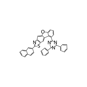 c1ccc(-c2nc(-c3ccccc3)nc(-c3cccc4oc5cc6nc(-c7ccc8ccccc8c7)sc6cc5c34)n2)cc1